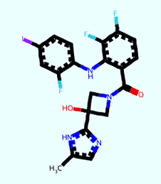 Cc1cnc(C2(O)CN(C(=O)c3ccc(F)c(F)c3Nc3ccc(I)cc3F)C2)[nH]1